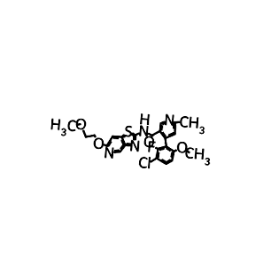 COCCOc1cc2sc(NC(=O)c3cnc(C)cc3-c3c(OC)ccc(Cl)c3F)nc2cn1